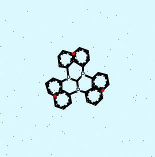 c1ccc(P(c2ccccc2)C(P(c2ccccc2)c2ccccc2)P(c2ccccc2)c2ccccc2)cc1